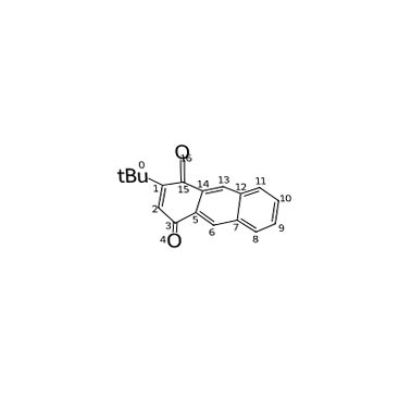 CC(C)(C)C1=CC(=O)c2cc3ccccc3cc2C1=O